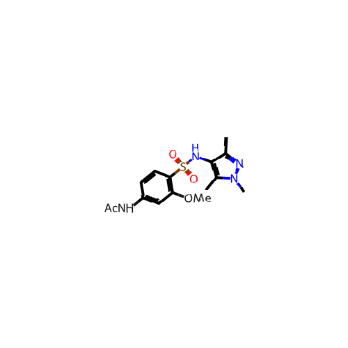 COc1cc(NC(C)=O)ccc1S(=O)(=O)Nc1c(C)nn(C)c1C